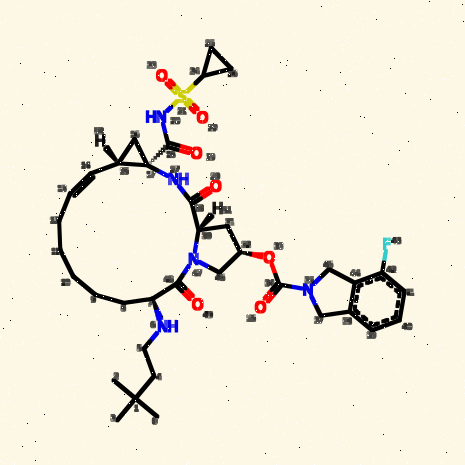 CC(C)(C)CCN[C@H]1CCCCC/C=C\[C@@H]2C[C@@]2(C(=O)NS(=O)(=O)C2CC2)NC(=O)[C@@H]2C[C@@H](OC(=O)N3Cc4cccc(F)c4C3)CN2C1=O